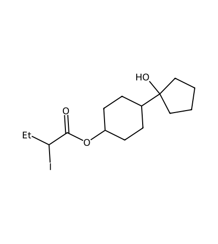 CCC(I)C(=O)OC1CCC(C2(O)CCCC2)CC1